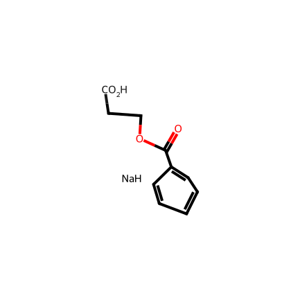 O=C(O)CCOC(=O)c1ccccc1.[NaH]